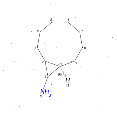 NC1C2CCCCCCC[C@@H]12